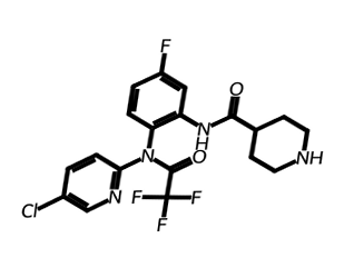 O=C(Nc1cc(F)ccc1N(C(=O)C(F)(F)F)c1ccc(Cl)cn1)C1CCNCC1